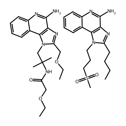 CCCCc1nc2c(N)nc3ccccc3c2n1CCCS(C)(=O)=O.CCOCC(=O)NC(C)(C)Cn1c(COCC)nc2c(N)nc3ccccc3c21